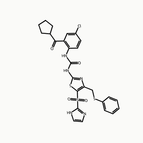 O=C(Nc1nc(CSc2ccccc2)c(S(=O)(=O)c2ncc[nH]2)s1)Nc1ccc(Cl)cc1C(=O)C1CCCC1